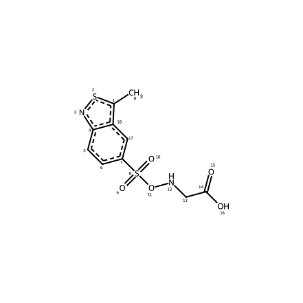 Cc1snc2ccc(S(=O)(=O)ONCC(=O)O)cc12